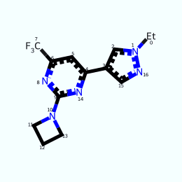 CCn1cc(-c2cc(C(F)(F)F)nc(N3CCC3)n2)cn1